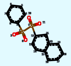 O=S(=O)(c1ccccc1)S(=O)(=O)c1ccc2ccccc2c1